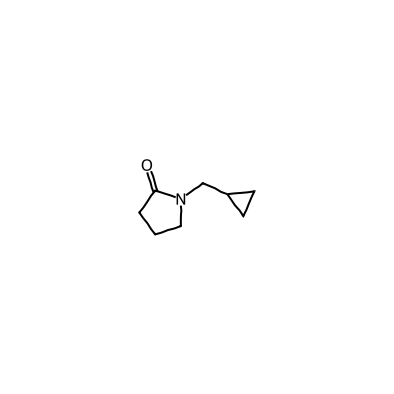 O=C1CCCN1CC1CC1